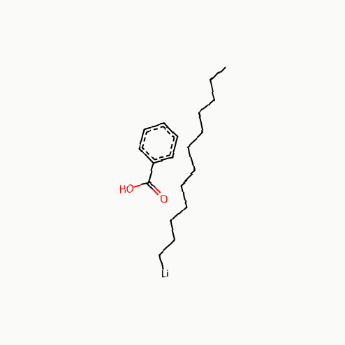 O=C(O)c1ccccc1.[Li][CH2]CCCCCCCCCCC